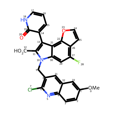 COc1ccc2nc(Cl)c(Cn3c(C(=O)O)c(-c4ccc[nH]c4=O)c4c5occc5c(F)cc43)cc2c1